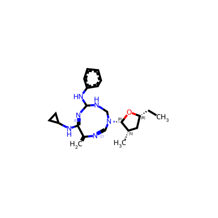 C=C1/N=C\N([C@@H]2O[C@H](CC)C[C@@H]2C)CNC(Nc2ccccc2)/N=C\1NC1CC1